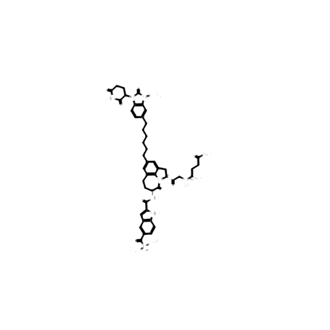 C[C@H](CCC(N)=O)NCC(=O)[C@@H]1Cc2cc(CCCCCCc3ccc4c(c3)n(C)c(=O)n4C3CCC(=O)NC3=O)cc3c2N1C(=O)[C@@H](NC(=O)c1cc2cc(C(=O)P(=O)(O)O)ccc2[nH]1)CC3